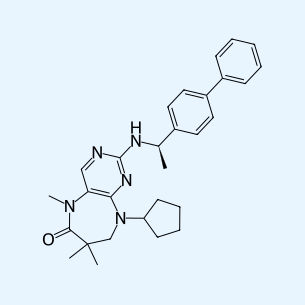 C[C@@H](Nc1ncc2c(n1)N(C1CCCC1)CC(C)(C)C(=O)N2C)c1ccc(-c2ccccc2)cc1